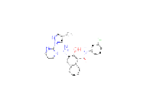 N#Cc1cnn(-c2ncccn2)c1/N=N/c1cc2ccccc2c(C(=O)Nc2cccc(Cl)c2)c1O